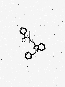 O=C(NN=Cc1cn(Cc2ccccc2)c2ccccc12)c1ccccc1